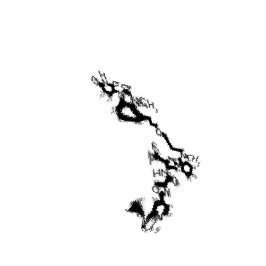 CN(CCCOCCCc1cccc2c1n(C)c(=O)n2C1CCC(=O)NC1=O)CC1(n2cc(NC(=O)c3coc(-c4ccnc(N(C)C5CC5)c4)n3)c(C(F)F)n2)CCCCC1